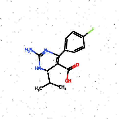 CC(C)C1NC(N)=NC(c2ccc(F)cc2)=C1C(=O)O